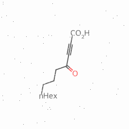 CCCCCCCCCC(=O)C#CC(=O)O